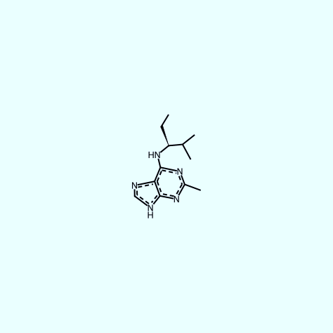 CC[C@H](Nc1nc(C)nc2[nH]cnc12)C(C)C